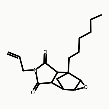 C=CCN1C(=O)C2C3CC(CCCCCC)(C4OC34)C2C1=O